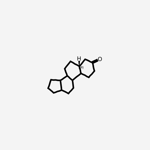 O=C1CCC2C3CCC4CCCC4C3CC[C@@H]2C1